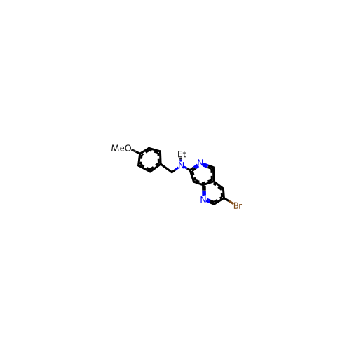 CCN(Cc1ccc(OC)cc1)c1cc2ncc(Br)cc2cn1